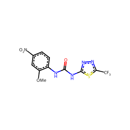 COc1cc([N+](=O)[O-])ccc1NC(=O)Nc1nnc(C(F)(F)F)s1